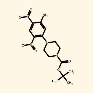 CC(C)(C)OC(=O)N1CCN(c2cc(N)c([N+](=O)[O-])cc2[N+](=O)[O-])CC1